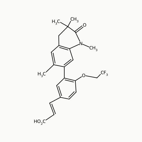 Cc1cc2c(cc1-c1cc(/C=C/C(=O)O)ccc1OCC(F)(F)F)N(C)C(=O)C(C)(C)C2